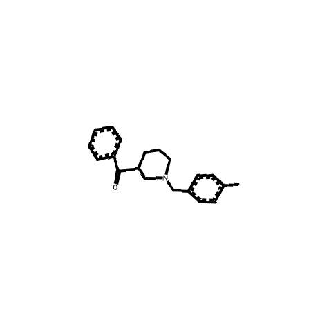 Cc1ccc(CN2CCCC(C(=O)c3ccccc3)C2)cc1